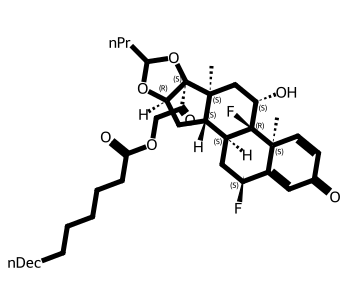 CCCCCCCCCCCCCCCC(=O)OCC(=O)[C@@]12OC(CCC)O[C@@H]1C[C@H]1[C@@H]3C[C@H](F)C4=CC(=O)C=C[C@]4(C)[C@@]3(F)[C@@H](O)C[C@@]12C